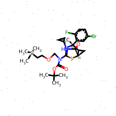 CC(C)(C)OC(=O)N(COCC[Si](C)(C)C)C1=N[C@](C)(c2cc(Br)ccc2F)C2C[C@]2(C(=O)NC2CC2)S1